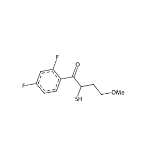 COCCC(S)C(=O)c1ccc(F)cc1F